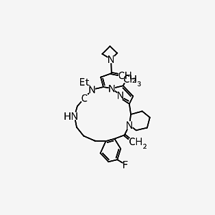 C=C(/C=C1/N(CC)CCNCCCc2ccc(F)cc2C(=C)N2CCCCC2c2cc(C)n1n2)N1CCC1